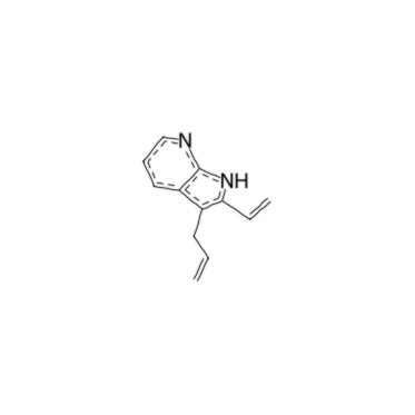 C=CCc1c(C=C)[nH]c2ncccc12